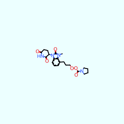 Cn1c(=O)n(C2CCC(=O)NC2=O)c2cccc(CCCOOC(=O)N3CCCC3)c21